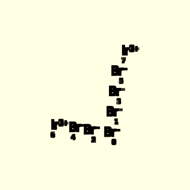 [Br-].[Br-].[Br-].[Br-].[Br-].[Br-].[Ir+3].[Ir+3]